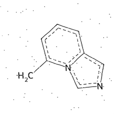 [CH2]c1cccc2cncn12